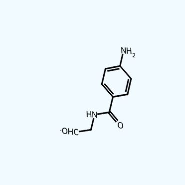 Nc1ccc(C(=O)NC[C]=O)cc1